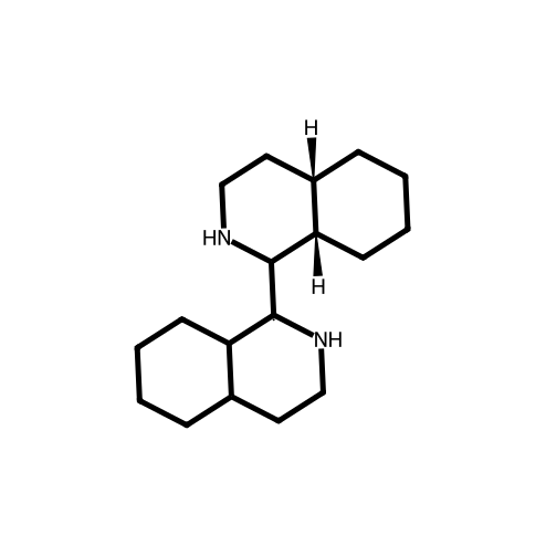 C1CCC2[C](C3NCC[C@@H]4CCCC[C@H]34)NCCC2C1